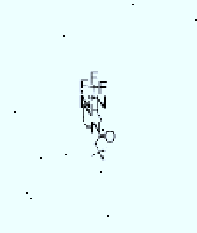 CC(C)(C)CC(=O)N1CCn2nc(C(F)(F)F)nc2C1